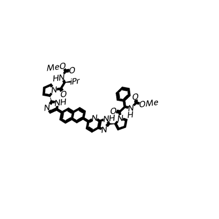 COC(=O)NC(C(=O)N1CCC[C@H]1c1nc2ccc(-c3ccc4cc(-c5cnc([C@@H]6CCCN6C(=O)[C@@H](NC(=O)OC)C(C)C)[nH]5)ccc4c3)nc2[nH]1)c1ccccc1